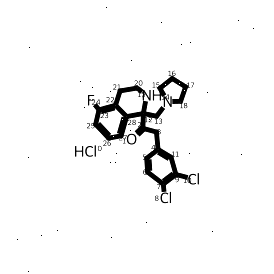 Cl.O=C(Cc1ccc(Cl)c(Cl)c1)C1(CN2CCCC2)NCCc2c(F)cccc21